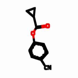 N#Cc1ccc(OC(=O)C2CC2)cc1